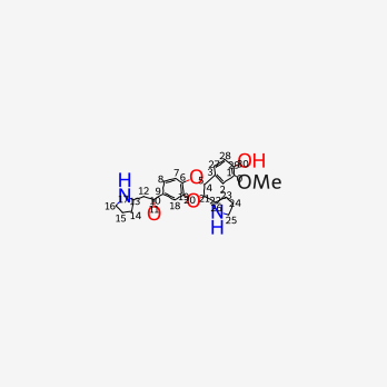 COc1cc(C2Oc3ccc(C(=O)CC4CCCN4)cc3OC2C2CCCN2)ccc1O